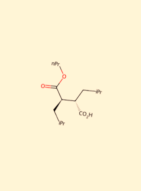 CCCOC(=O)[C@H](CC(C)C)[C@H](CC(C)C)C(=O)O